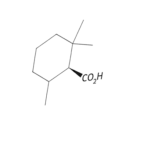 CC1CCCC(C)(C)[C@H]1C(=O)O